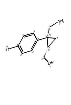 CCc1ccc([C@@]2(CN)C[C@@H]2CO)cc1